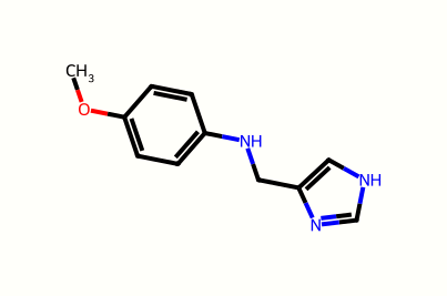 COc1ccc(NCc2c[nH]cn2)cc1